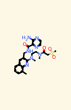 Cc1cccc2cc(CNC(=O)c3nccnc3N)c(N(C)CCN(C)C(=O)CS(C)(=O)=O)nc12